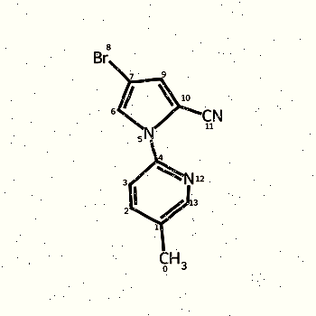 Cc1ccc(-n2cc(Br)cc2C#N)nc1